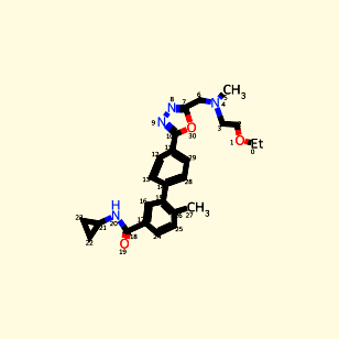 CCOCCN(C)Cc1nnc(-c2ccc(-c3cc(C(=O)NC4CC4)ccc3C)cc2)o1